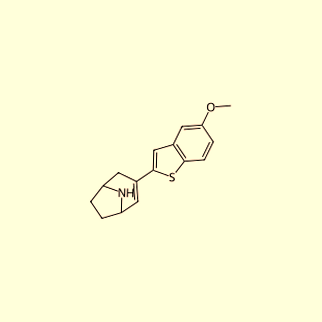 COc1ccc2sc(C3=CC4CCC(C3)N4)cc2c1